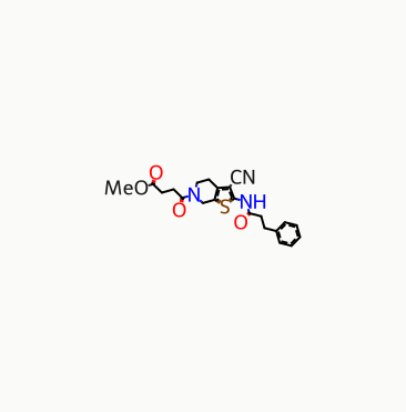 COC(=O)CCC(=O)N1CCc2c(sc(NC(=O)CCc3ccccc3)c2C#N)C1